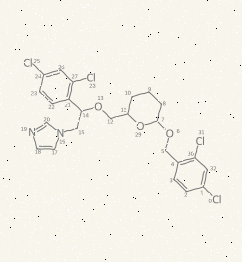 Clc1ccc(COC2CCCC(COC(Cn3ccnc3)c3ccc(Cl)cc3Cl)O2)c(Cl)c1